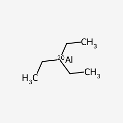 C[CH2][20Al]([CH2]C)[CH2]C